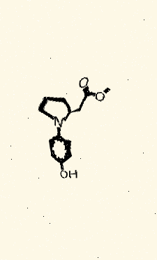 COC(=O)C[C@@H]1CCCN1c1ccc(O)cc1